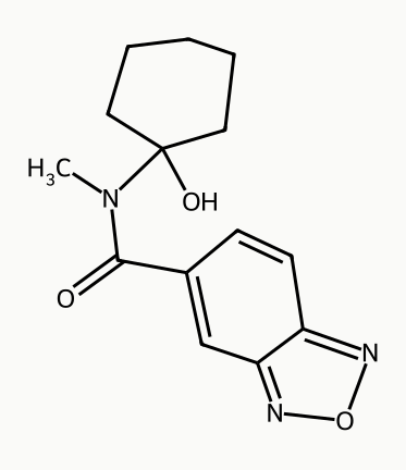 CN(C(=O)c1ccc2nonc2c1)C1(O)CCCCC1